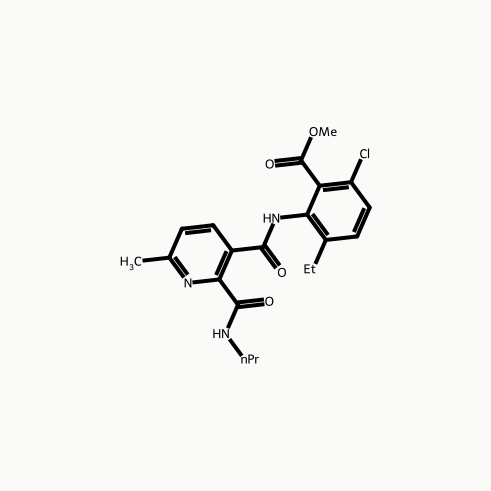 CCCNC(=O)c1nc(C)ccc1C(=O)Nc1c(CC)ccc(Cl)c1C(=O)OC